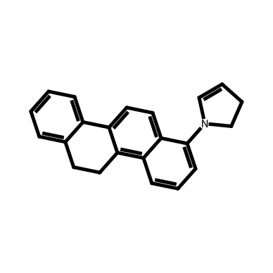 C1=CN(c2cccc3c4c(ccc23)-c2ccccc2CC4)CC1